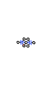 c1ccc(-c2nc(-c3ccccc3)nc(-c3cccc(-c4cccc(-c5nc(-c6ccccc6)nc(-c6ccccc6-c6ccccc6)n5)c4)c3)n2)cc1